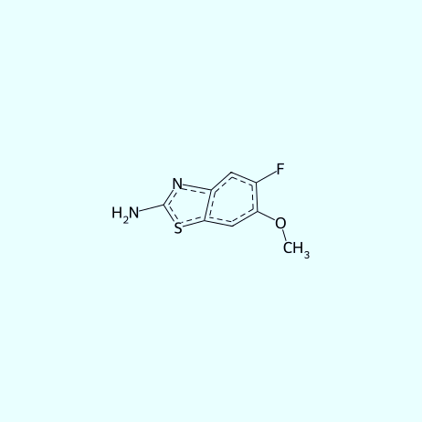 COc1cc2sc(N)nc2cc1F